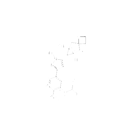 CC(C)n1nc(-c2cnc(N)c(OC(F)F)c2)cc1C1[C@H]2CC3(CCO3)C[C@@H]12